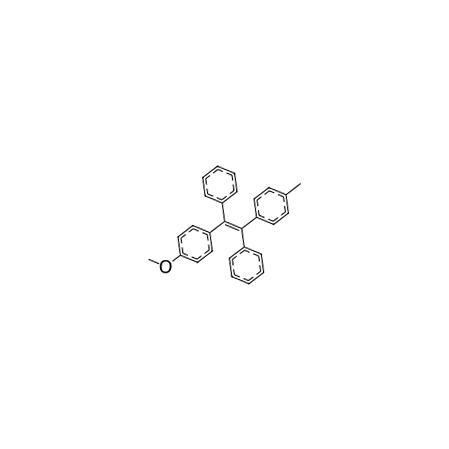 COc1ccc(/C(=C(\c2ccccc2)c2ccc(C)cc2)c2ccccc2)cc1